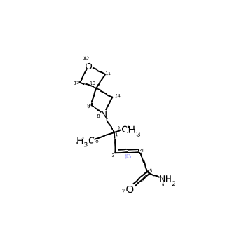 CC(C)(/C=C/C(N)=O)N1CC2(COC2)C1